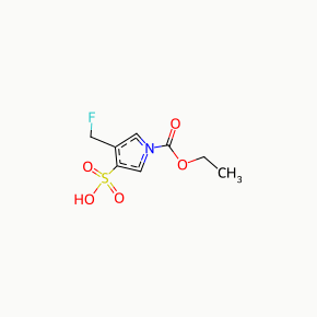 CCOC(=O)n1cc(CF)c(S(=O)(=O)O)c1